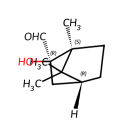 CC1(C)[C@@H]2CC[C@]1(C)[C@@](O)(C=O)C2